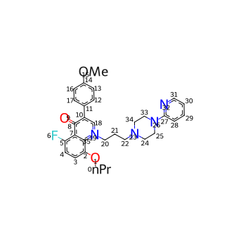 CCCOc1ccc(F)c2c(=O)c(-c3ccc(OC)cc3)cn(CCCN3CCN(c4ccccn4)CC3)c12